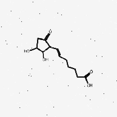 O=C(O)CCCCC=CC1C(=O)CC(O)C1O